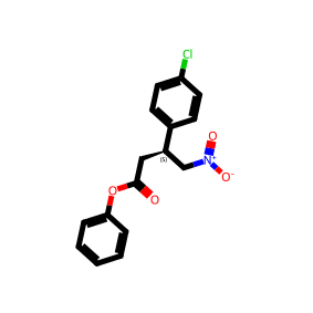 O=C(C[C@H](C[N+](=O)[O-])c1ccc(Cl)cc1)Oc1ccccc1